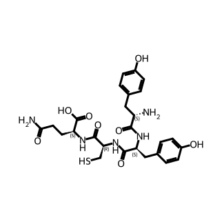 NC(=O)CC[C@H](NC(=O)[C@H](CS)NC(=O)[C@H](Cc1ccc(O)cc1)NC(=O)[C@@H](N)Cc1ccc(O)cc1)C(=O)O